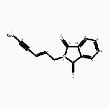 CC(C)(C)C#CC=CCN1C(=O)c2ccccc2C1=O